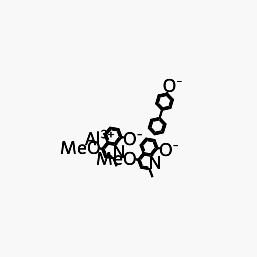 COc1cc(C)nc2c([O-])cccc12.COc1cc(C)nc2c([O-])cccc12.[Al+3].[O-]c1ccc(-c2ccccc2)cc1